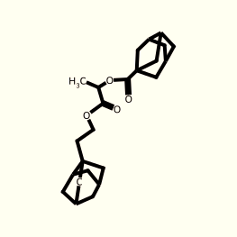 CC(OC(=O)C12CC3CC(C1)C(C3)C2)C(=O)OCCC12CC3CC(CC1C3)C2